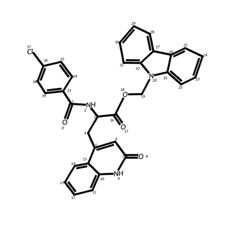 O=C(NC(Cc1cc(=O)[nH]c2ccccc12)C(=O)OCn1c2ccccc2c2ccccc21)c1ccc(Cl)cc1